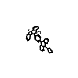 c1ccc(-c2c3ccccc3c(-c3ccc4c(c3)oc3c5ccccc5c5sc6ccccc6c5c43)c3ccccc23)cc1